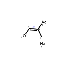 CC(=O)/C(C)=C/[O-].[Na+]